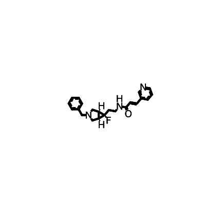 O=C(/C=C/c1cccnc1)NCC[C@@]1(F)[C@@H]2CN(Cc3ccccc3)C[C@@H]21